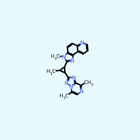 Cc1ncc(C)n2nc(C3C(C)C3c3nc4c5cccnc5ccc4n3C)nc12